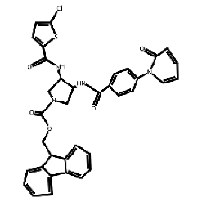 O=C(N[C@H]1CN(C(=O)OCC2c3ccccc3-c3ccccc32)C[C@H]1NC(=O)c1ccc(Cl)s1)c1ccc(-n2ccccc2=O)cc1